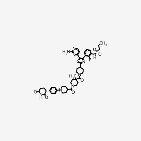 CCCS(=O)(=O)Nc1cccc(-c2nc(C3CCN(C(=O)C4(C)CCN(C(=O)C5CCN(c6ccc([C@H]7CCC(=O)NC7=O)cc6)CC5)CC4)CC3)sc2-c2ccnc(N)n2)c1F